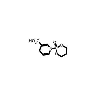 O=C(O)C1=CN(P2(=O)OCCCO2)C=CC1